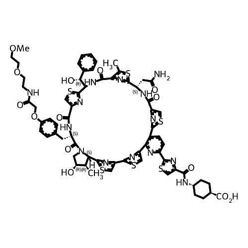 COCCOCCNC(=O)COc1ccc(C[C@@H]2NC(=O)c3csc(n3)C([C@H](O)c3ccccc3)NC(=O)c3nc(sc3C)[C@H](CC(N)=O)NC(=O)c3csc(n3)-c3ccc(-c4nc(C(=O)N[C@H]5CC[C@H](C(=O)O)CC5)cs4)nc3-c3csc(n3)-c3csc(n3)[C@@H]3[C@@H](C)[C@@H](O)CN3C2=O)cc1